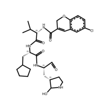 CC(C)[C@H](NC(=O)C1=Cc2cc(Cl)ccc2OC1)C(=O)N[C@@H](CC1CCCC1)C(=O)N[C@H](C=O)C[C@@H]1CCNC1O